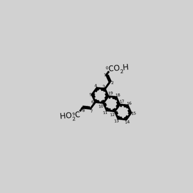 O=C(O)C=Cc1ccc(C=CC(=O)O)c2cc3ccccc3cc12